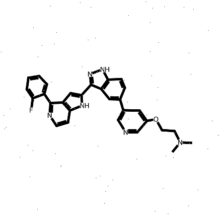 CN(C)CCOc1cncc(-c2ccc3[nH]nc(-c4cc5c(-c6ccccc6F)nccc5[nH]4)c3c2)c1